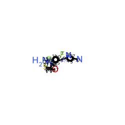 N#Cc1ccc(/C(F)=C/c2ccc(F)c([C@]34COC[C@H]3CSC(N)=N4)c2)nc1